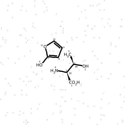 C[C@@H](O)[C@H](N)C(=O)O.Oc1ccco1